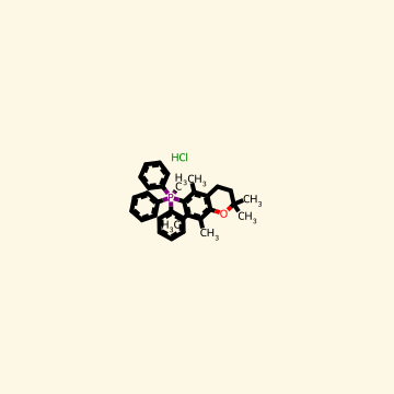 Cc1c(C)c(P(C)(c2ccccc2)(c2ccccc2)c2ccccc2)c(C)c2c1OC(C)(C)CC2.Cl